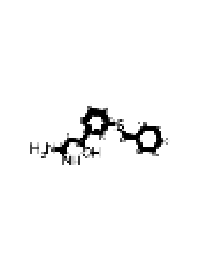 N=C(N)CC(O)c1cccc(SCC2CCCCC2)c1